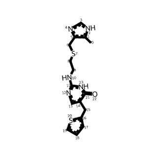 Cc1[nH]cnc1CSCCNc1ncc(Cc2cccs2)c(=O)[nH]1